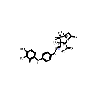 C[C@]1(/C=N/Oc2ccc(Nc3ccc(O)c(O)c3Cl)cc2)[C@H](C(=O)O)N2C(=O)C[C@H]2S1(=O)=O